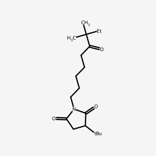 CCC(C)(C)C(=O)CCCCCN1C(=O)CC(C(C)(C)C)C1=O